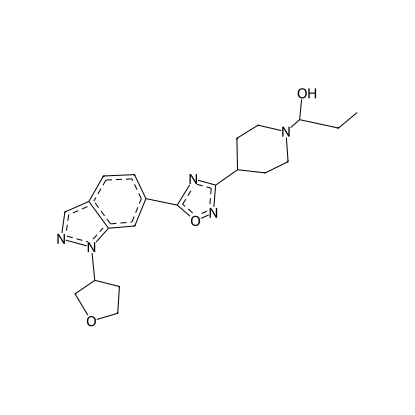 CCC(O)N1CCC(c2noc(-c3ccc4cnn(C5CCOC5)c4c3)n2)CC1